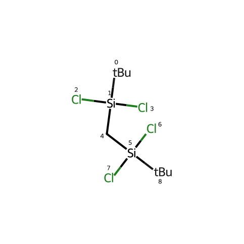 CC(C)(C)[Si](Cl)(Cl)C[Si](Cl)(Cl)C(C)(C)C